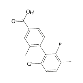 Cc1cc(C(=O)O)ccc1-c1c(Cl)ccc(C)c1F